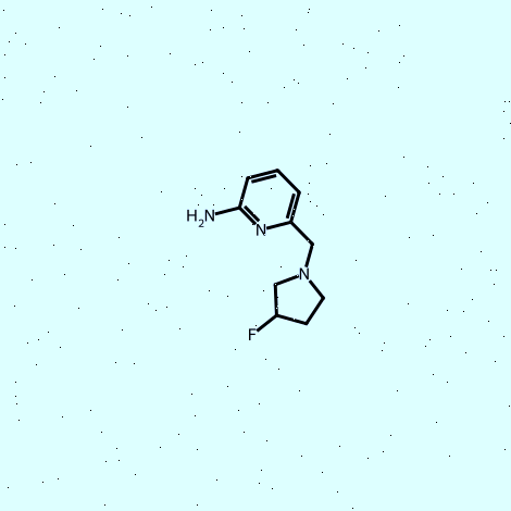 Nc1cccc(CN2CCC(F)C2)n1